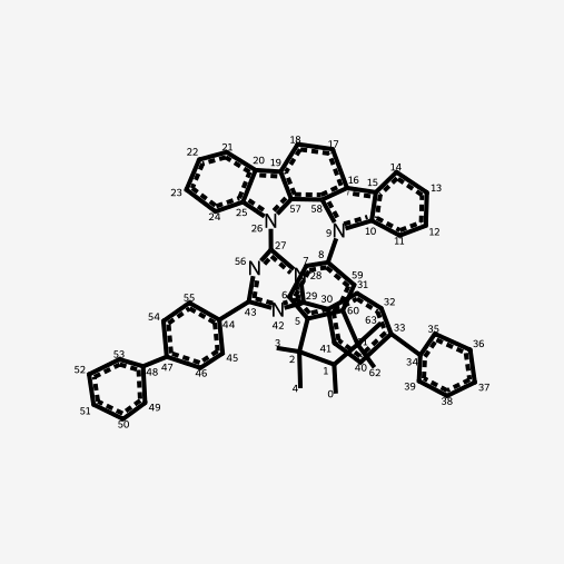 CC1C(C)(C)c2ccc(-n3c4ccccc4c4ccc5c6ccccc6n(-c6nc(-c7ccc(-c8ccccc8)cc7)nc(-c7ccc(-c8ccccc8)cc7)n6)c5c43)cc2C1(C)C